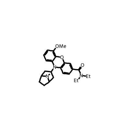 CCN(CC)C(=O)c1ccc2c(c1)Oc1c(OC)cccc1N2C1CC2CCC(C1)N2C